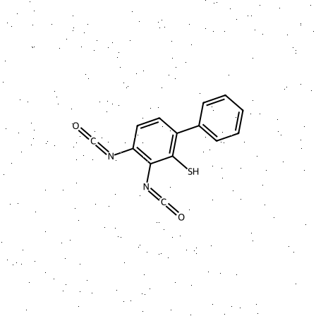 O=C=Nc1ccc(-c2ccccc2)c(S)c1N=C=O